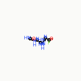 COc1cc(F)cc(-c2cncc3[nH]c(-c4n[nH]c5ncc(-c6cncc(NC(=O)CC7CCNCC7)c6)cc45)cc23)c1